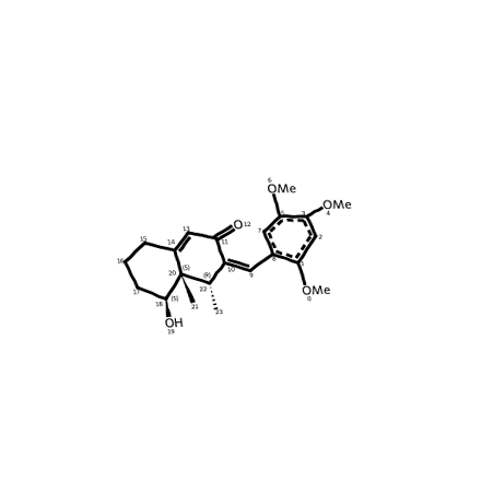 COc1cc(OC)c(OC)cc1C=C1C(=O)C=C2CCC[C@H](O)[C@@]2(C)[C@H]1C